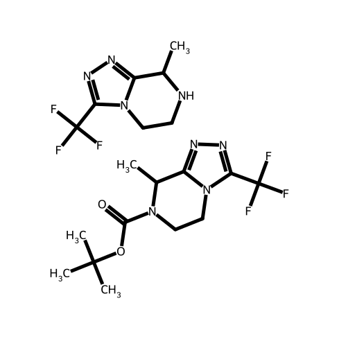 CC1NCCn2c1nnc2C(F)(F)F.CC1c2nnc(C(F)(F)F)n2CCN1C(=O)OC(C)(C)C